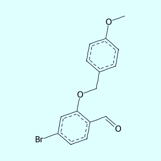 COc1ccc(COc2cc(Br)ccc2C=O)cc1